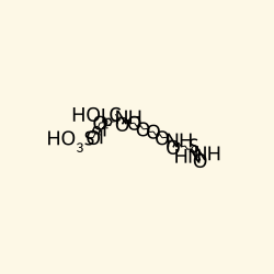 O=C(CCCCC1SCC2NC(=O)NC21)NCCOCCOCCOCCOCCC(=O)N[C@@H](Cc1cc(I)c(Oc2ccc(OS(=O)(=O)O)c(I)c2)c(I)c1)C(=O)O